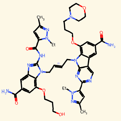 CCn1nc(C)cc1C(=O)Nc1nc2cc(C(N)=O)cc(OCCCO)c2n1C/C=C/Cn1c2nc(-c3cc(C)nn3CC)ncc2c2cc(C(N)=O)cc(OCCCN3CCOCC3)c21